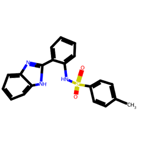 Cc1ccc(S(=O)(=O)Nc2ccccc2-c2nc3ccccc3[nH]2)cc1